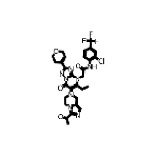 CCc1c(N2CCn3c(cnc3C(C)=O)C2)c(=O)n2nc(C3=CCOCC3)nc2n1CC(=O)Nc1ccc(C(F)(F)F)cc1Cl